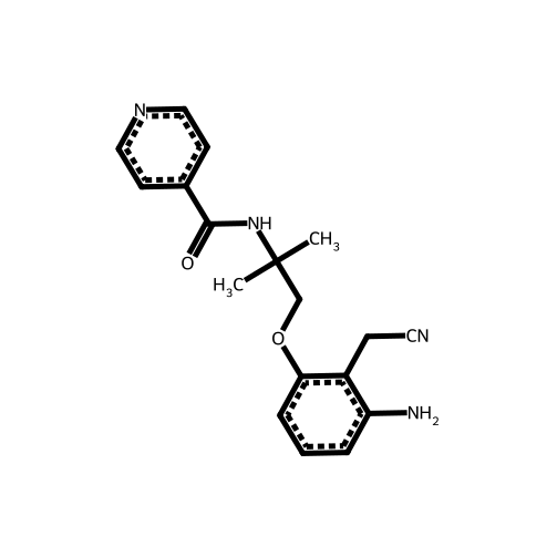 CC(C)(COc1cccc(N)c1CC#N)NC(=O)c1ccncc1